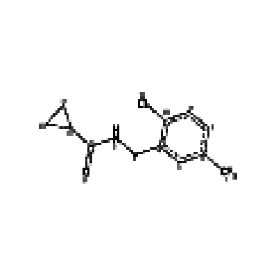 O=C(NCc1cc(C(F)(F)F)ccc1Cl)C1CC1